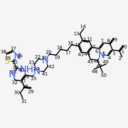 C=C(C)C1=CN2C(=CC1=C)c1cc(CC)c(CCCCCN3CCN(CC4=C(C(=C)CC)CN=C(c5nccs5)N4)CC3)cc1CC2C(C)(C)C